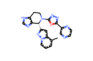 Cc1cccn2nc([C@@H]3c4nc[nH]c4CCN3c3nnc(-c4cnccn4)o3)cc12